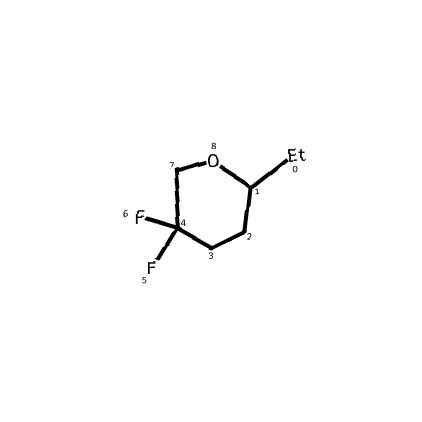 CCC1CCC(F)(F)CO1